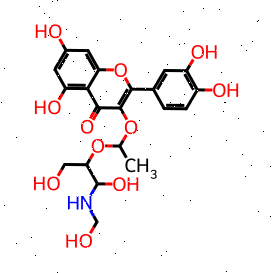 CC(Oc1c(-c2ccc(O)c(O)c2)oc2cc(O)cc(O)c2c1=O)OC(CO)C(O)NCO